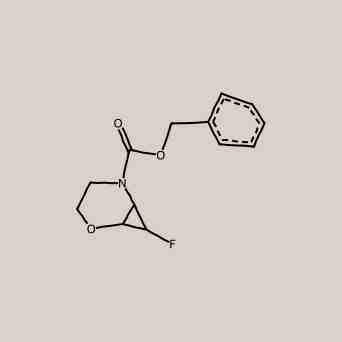 O=C(OCc1ccccc1)N1CCOC2C(F)C21